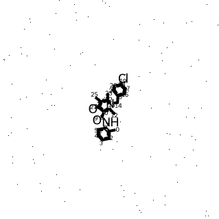 Cc1ccccc1NC(=O)c1c(C)n(Cc2ccc(Cl)cc2)c(C)c(C)c1=O